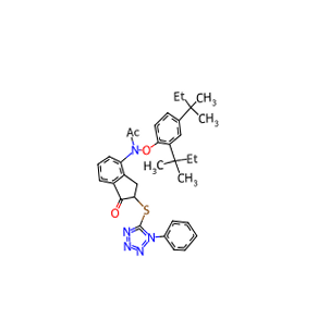 CCC(C)(C)c1ccc(ON(C(C)=O)c2cccc3c2CC(Sc2nnnn2-c2ccccc2)C3=O)c(C(C)(C)CC)c1